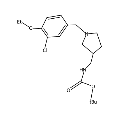 CCOc1ccc(CN2CCC(CNC(=O)OC(C)(C)C)C2)cc1Cl